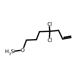 C=CCC(Cl)(Cl)CCCO[SiH3]